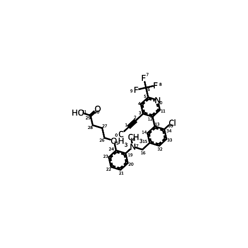 CC#Cc1cc(C(F)(F)F)ncc1-c1cc(CN(C)c2ccccc2OCCCC(=O)O)ccc1Cl